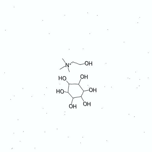 C[N+](C)(C)CCO.OC1C(O)C(O)C(O)C(O)C1O